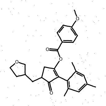 COc1ccc(C(=O)OC2=C(c3c(C)cc(C)cc3C)C(=O)C(CC3CCOC3)C2)cc1